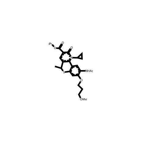 COCCCOc1cc2c(cc1NC(C)=O)-c1c(cc(C(=O)OC(C)C)c(=O)n1C1CC1)C(C)S2